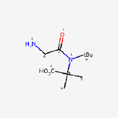 CC(C)(C)N(C(=O)CN)C(C)(C)C(=O)O